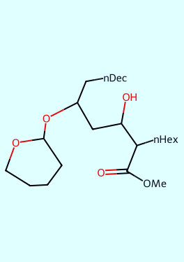 CCCCCCCCCCCC(CC(O)C(CCCCCC)C(=O)OC)OC1CCCCO1